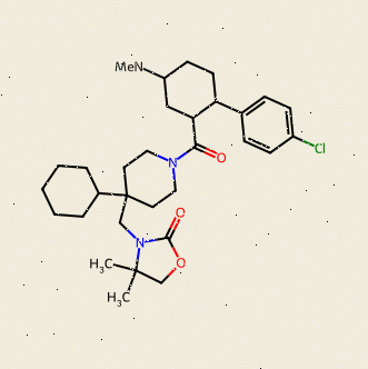 CNC1CCC(c2ccc(Cl)cc2)C(C(=O)N2CCC(CN3C(=O)OCC3(C)C)(C3CCCCC3)CC2)C1